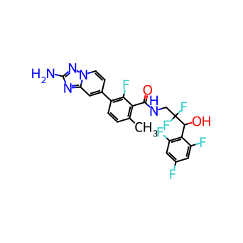 Cc1ccc(-c2ccn3nc(N)nc3c2)c(F)c1C(=O)NCC(F)(F)C(O)c1c(F)cc(F)cc1F